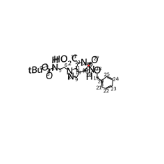 CC(C)(C)OC(=O)NCCn1ncc2c1C(C(=O)O)N1C[C@H]2N(OCc2ccccc2)C1=O